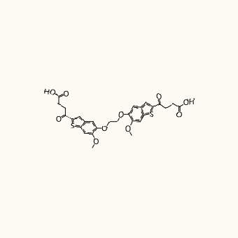 COc1cc2sc(C(=O)CCC(=O)O)cc2cc1OCCOc1cc2cc(C(=O)CCC(=O)O)sc2cc1OC